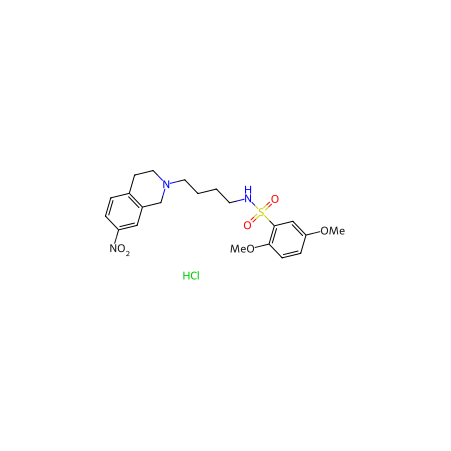 COc1ccc(OC)c(S(=O)(=O)NCCCCN2CCc3ccc([N+](=O)[O-])cc3C2)c1.Cl